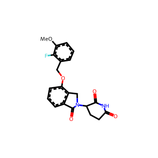 COc1cccc(COc2cccc3c2CN(C2CCC(=O)NC2=O)C3=O)c1F